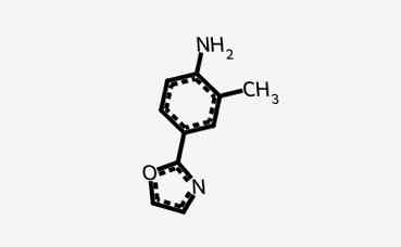 Cc1cc(-c2ncco2)ccc1N